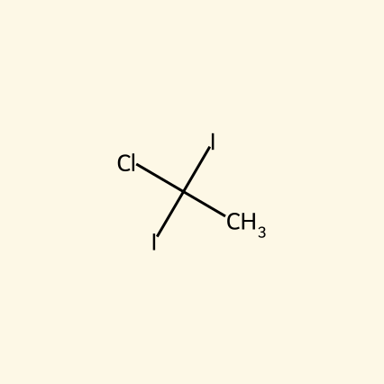 CC(Cl)(I)I